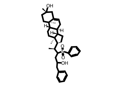 C[C@H](C(CC(O)Cc1ccccc1)S(=O)(=O)c1ccccc1)[C@H]1CC[C@H]2[C@@H]3CC=C4C[C@@](C)(O)CC[C@]4(C)[C@H]3CC[C@]12C